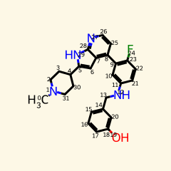 CN1CCC(c2cc3c(-c4cc(NCc5cccc(O)c5)ccc4F)ccnc3[nH]2)CC1